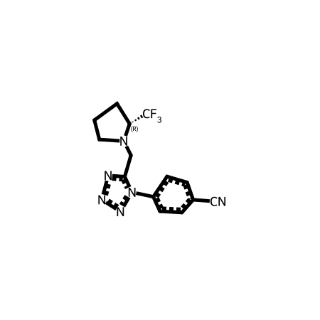 N#Cc1ccc(-n2nnnc2CN2CCC[C@@H]2C(F)(F)F)cc1